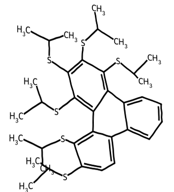 CC(C)Sc1ccc2c3ccccc3c3c(SC(C)C)c(SC(C)C)c(SC(C)C)c(SC(C)C)c3c2c1SC(C)C